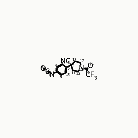 N#CC1(c2ccc(N=C=O)cc2)CCN(C(=O)C(F)(F)F)CC1